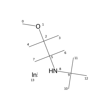 COC(C)(C)C(C)(C)NC(C)(C)C.[In]